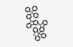 c1ccc([Si](c2ccccc2)(c2ccccc2)c2cccc(-n3c4ccccc4c4cc(-n5c6ccccc6c6ccc([Si]7(c8ccccc8)c8ccccc8Oc8ccccc87)cc65)ccc43)c2)cc1